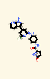 O=C1CC[C@@H](C(=O)N[C@H]2CC[C@H](Nc3cc(-c4c[nH]c5ncccc45)cc(Cl)n3)CC2)N1